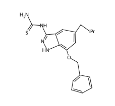 CC(C)Cc1cc(OCc2ccccc2)c2[nH]nc(NC(N)=S)c2c1